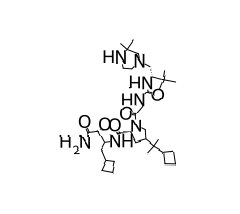 CC1(C)CN(C[C@@H](NC(=O)NCC(=O)N2CC(C(C)(C)C3CCC3)C[C@H]2C(=O)NC(CC2CCC2)C(=O)C(N)=O)C(C)(C)C)CCN1